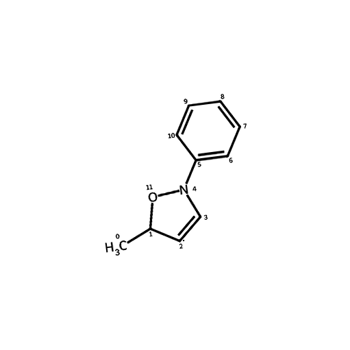 CC1[C]=CN(c2ccccc2)O1